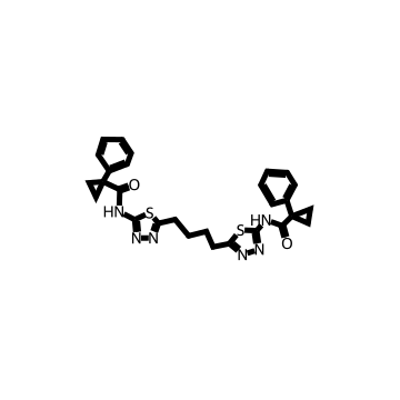 O=C(Nc1nnc(CCCCc2nnc(NC(=O)C3(c4ccccc4)CC3)s2)s1)C1(c2ccccc2)CC1